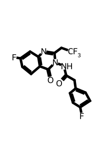 O=C(Cc1ccc(F)cc1)Nn1c(CC(F)(F)F)nc2cc(F)ccc2c1=O